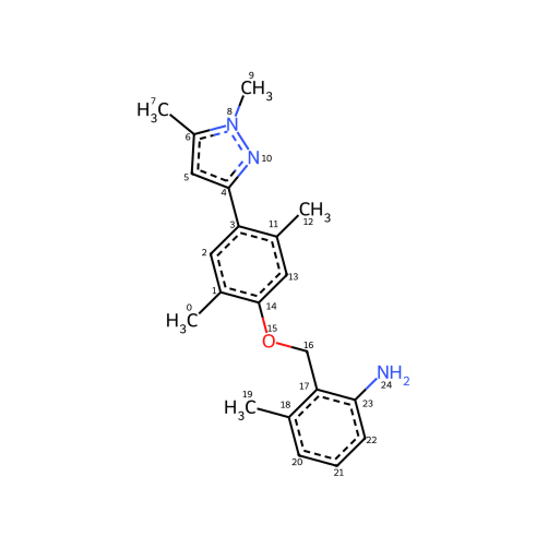 Cc1cc(-c2cc(C)n(C)n2)c(C)cc1OCc1c(C)cccc1N